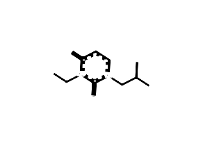 CCn1c(=O)ccn(CC(C)C)c1=O